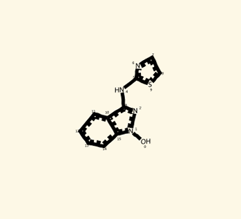 On1nc(Nc2nccs2)c2ccccc21